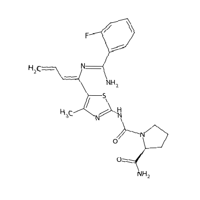 C=C/C=C(\N=C(/N)c1ccccc1F)c1sc(NC(=O)N2CCC[C@H]2C(N)=O)nc1C